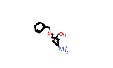 NC1CC(CO)(CCOCc2ccccc2)C1